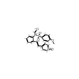 COc1ccc(S(=O)(=O)N(C=O)c2ccccc2/C=C/c2cc[n+]([O-])cc2)cc1